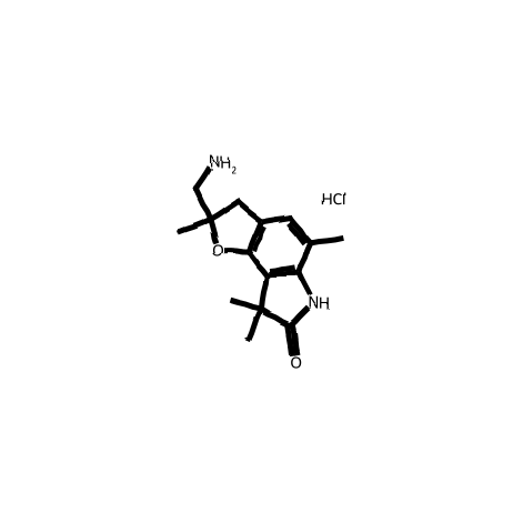 Cc1cc2c(c3c1NC(=O)C3(C)C)OC(C)(CN)C2.Cl